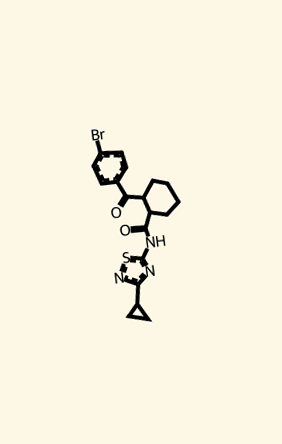 O=C(Nc1nc(C2CC2)ns1)C1CCCCC1C(=O)c1ccc(Br)cc1